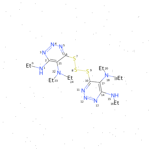 CCNc1nnnc(SSSc2nnnc(NCC)c2N(CC)CC)c1N(CC)CC